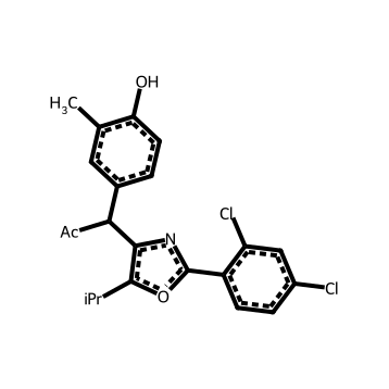 CC(=O)C(c1ccc(O)c(C)c1)c1nc(-c2ccc(Cl)cc2Cl)oc1C(C)C